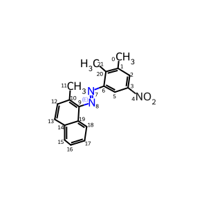 Cc1cc([N+](=O)[O-])cc(/N=N/c2c(C)ccc3ccccc23)c1C